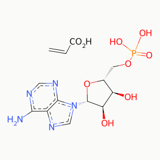 C=CC(=O)O.Nc1ncnc2c1ncn2[C@@H]1O[C@H](COP(=O)(O)O)[C@@H](O)[C@H]1O